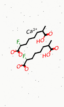 CC(CCCC[C@@H](F)C(=O)[O-])C(=O)O.CC(CCCC[C@@H](F)C(=O)[O-])C(=O)O.[Ca+2]